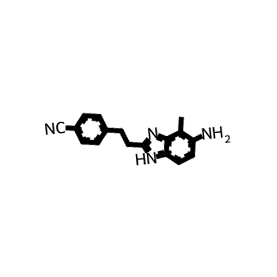 Cc1c(N)ccc2[nH]c(CCc3ccc(C#N)cc3)nc12